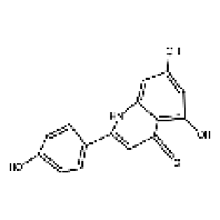 O=c1cc(-c2ccc(O)cc2)[nH]c2cc(O)cc(O)c12